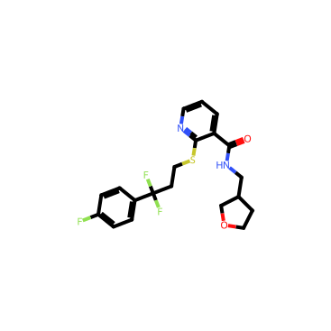 O=C(NCC1CCOC1)c1cccnc1SCCC(F)(F)c1ccc(F)cc1